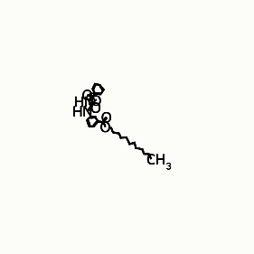 CCCCCCCCCCCCOC(=O)c1cccc(NC(=O)NS(=O)(=O)c2ccccc2)c1